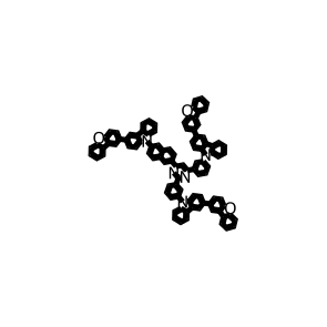 c1cc(-c2cc(-c3ccc4cc(-n5c6ccccc6c6cc(-c7ccc8oc9ccccc9c8c7)ccc65)ccc4c3)nc(-c3cccc(-n4c5ccccc5c5cc(-c6ccc7oc8ccccc8c7c6)ccc54)c3)n2)cc(-n2c3ccccc3c3cc(-c4ccc5oc6ccccc6c5c4)ccc32)c1